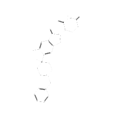 Cc1cc2c(cc1C1(O)CCN(Cc3ccccc3)CC1)CN(C1CCC(=O)NC1=O)C2=O